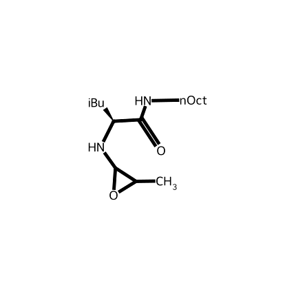 CCCCCCCCNC(=O)[C@@H](NC1OC1C)C(C)CC